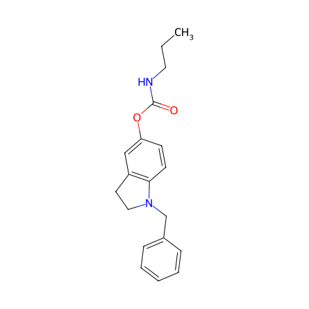 CCCNC(=O)Oc1ccc2c(c1)CCN2Cc1ccccc1